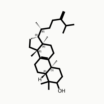 C=C(CC[C@@H](C)[C@H]1CC[C@@]2(C)C3=C(CC[C@]12C)[C@@]1(C)CCC(O)C(C)(C)[C@@H]1CC3)C(C)C